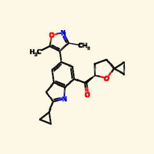 Cc1noc(C)c1-c1cc2c(c(C(=O)[C@H]3CCC4(CC4)O3)c1)N=C(C1CC1)C2